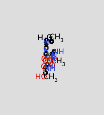 COC(=O)c1nc2[nH]ccc2cc1Oc1cc(N2CCC3(CC2)CC(N2CCCC2c2ccccc2C(C)C)C3)ccc1C(=O)NS(=O)(=O)c1cc(N=O)c2c(c1)OC[C@H]([C@H]1CC[C@](C)(O)CC1)N2